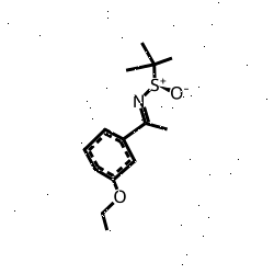 CCOc1cccc(C(C)=N[S@+]([O-])C(C)(C)C)c1